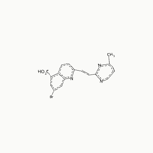 Cc1ccnc(C=Cc2ccc3c(C(=O)O)cc(Br)cc3n2)n1